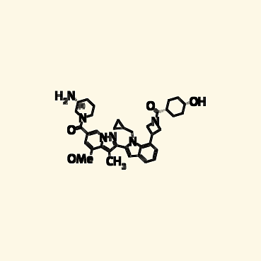 COc1cc(C(=O)N2CCC[C@@H](N)C2)cn2nc(-c3cc4cccc(C5CN(C(=O)[C@H]6CC[C@@H](O)CC6)C5)c4n3CC3CC3)c(C)c12